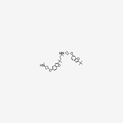 CN[C@H]1C[C@@H](Oc2ccc3oc(C(C)(C)CCC(C)(C)N[C@H]4C[C@@H](Oc5ccc6cc(C(C)(C)C)oc6c5)C4)cc3c2)C1